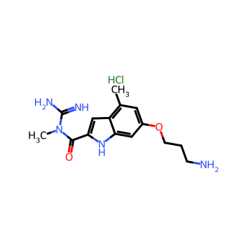 Cc1cc(OCCCN)cc2[nH]c(C(=O)N(C)C(=N)N)cc12.Cl